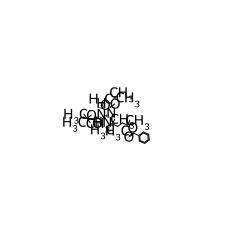 CC(C)(CCC(C)(C)OC(=O)c1ccccc1)N/C(=N/C(=O)OC(C)(C)C)NC(=O)OC(C)(C)C